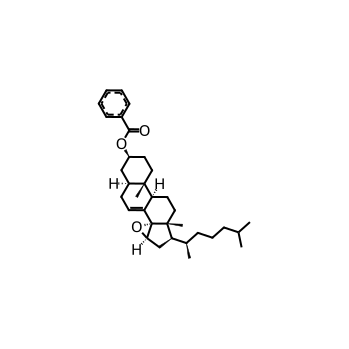 CC(C)CCC[C@@H](C)[C@H]1C[C@H]2O[C@@]23C2=CC[C@H]4C[C@@H](OC(=O)c5ccccc5)CC[C@]4(C)[C@H]2CC[C@]13C